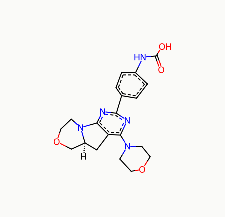 O=C(O)Nc1ccc(-c2nc(N3CCOCC3)c3c(n2)N2CCOC[C@@H]2C3)cc1